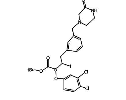 CC(C)(C)OC(=O)N(Oc1ccc(Cl)c(Cl)c1)C(I)Cc1cccc(CN2CCNC(=O)C2)c1